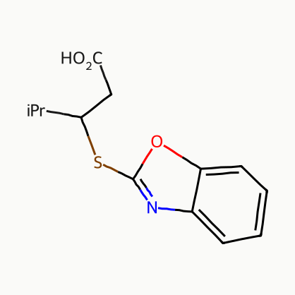 CC(C)C(CC(=O)O)Sc1nc2ccccc2o1